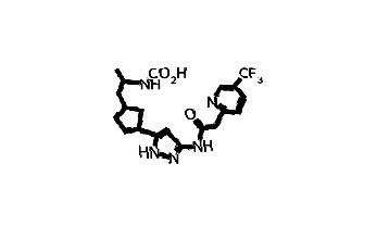 CC(CC1CCC(c2cc(NC(=O)Cc3ccc(C(F)(F)F)cn3)n[nH]2)C1)NC(=O)O